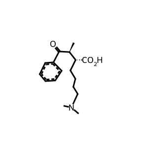 C[C@H](C(=O)c1ccccc1)[C@@H](CCCCN(C)C)C(=O)O